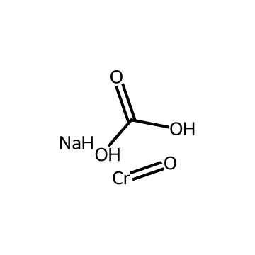 O=C(O)O.[NaH].[O]=[Cr]